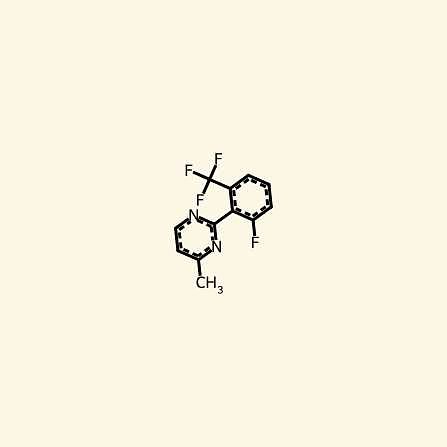 Cc1ccnc(-c2c(F)cccc2C(F)(F)F)n1